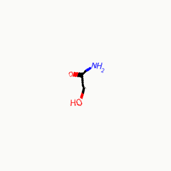 NC(=O)[CH]O